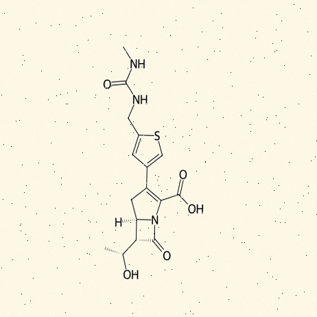 CNC(=O)NCc1cc(C2=C(C(=O)O)N3C(=O)[C@H]([C@@H](C)O)[C@H]3C2)cs1